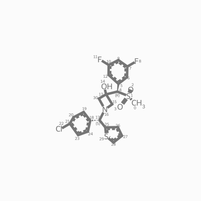 CS(=O)(=O)[C@H](c1cc(F)cc(F)c1)C1(O)CN([C@@H](c2ccc(Cl)cc2)c2cccs2)C1